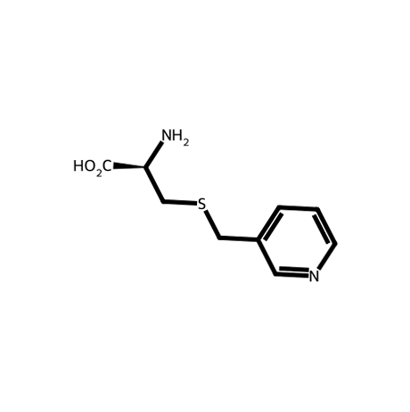 N[C@@H](CSCc1cccnc1)C(=O)O